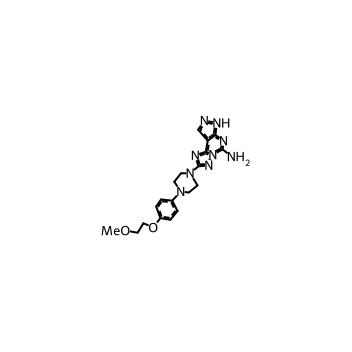 COCCOc1ccc(N2CCN(c3nc4c5cn[nH]c5nc(N)n4n3)CC2)cc1